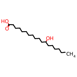 C.CCCCCCC(O)CCCCCCCCCCC(=O)O